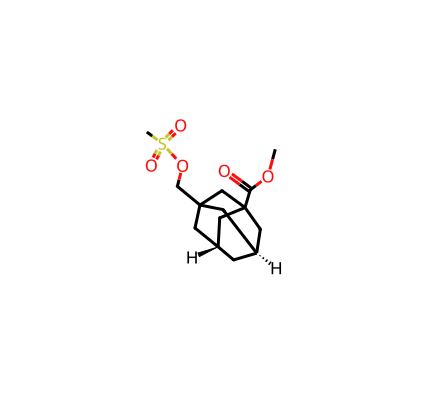 COC(=O)C12C[C@@H]3C[C@@H](CC(COS(C)(=O)=O)(C3)C1)C2